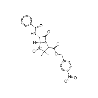 CC1(C)[C@H](C(=O)OCc2ccc([N+](=O)[O-])cc2)N2C(=O)[C@@H](NC(=O)c3ccccc3)[C@H]2[S+]1[O-]